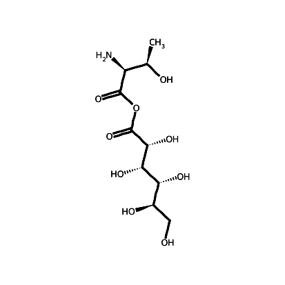 C[C@@H](O)[C@H](N)C(=O)OC(=O)[C@H](O)[C@@H](O)[C@H](O)[C@H](O)CO